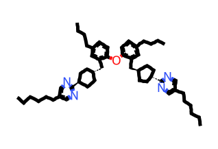 CCCCCCc1cnc([C@H]2CC[C@H](Cc3cc(CCCC)ccc3Oc3ccc(CCCC)cc3C[C@H]3CC[C@H](c4ncc(CCCCCC)cn4)CC3)CC2)nc1